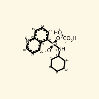 O=C(O)O.O=S(=O)(NC1CCCCC1)c1cccc2ncccc12